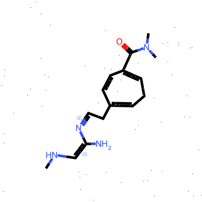 CN/C=C(N)\N=C/CC1=CCC=C(C(=O)N(C)C)C=C1